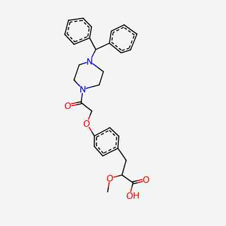 COC(Cc1ccc(OCC(=O)N2CCN(C(c3ccccc3)c3ccccc3)CC2)cc1)C(=O)O